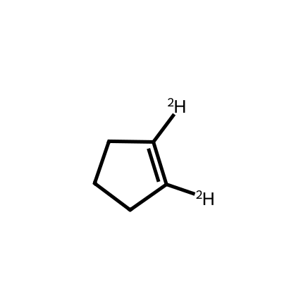 [2H]C1=C([2H])CCC1